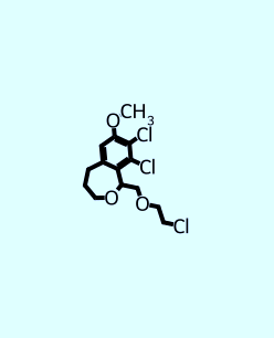 COc1cc2c(c(Cl)c1Cl)C(COCCCl)OCCC2